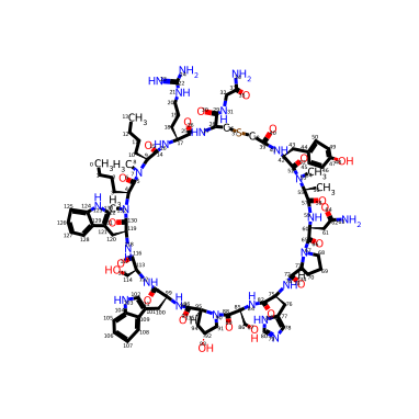 CCCC[C@H]1C(=O)N(C)[C@@H](CCCC)C(=O)N[C@@H](CCCNC(=N)N)C(=O)NC(C(=O)NCC(N)=O)CSCC(=O)N[C@@H](Cc2ccc(O)cc2)C(=O)N(C)[C@@H](C)C(=O)N[C@@H](CC(N)=O)C(=O)N2CCC[C@H]2C(=O)N[C@@H](Cc2cnc[nH]2)C(=O)N[C@@H](CO)C(=O)N2C[C@H](O)C[C@H]2C(=O)N[C@@H](Cc2c[nH]c3ccccc23)C(=O)N[C@@H](CO)C(=O)N[C@@H](Cc2c[nH]c3ccccc23)C(=O)N1C